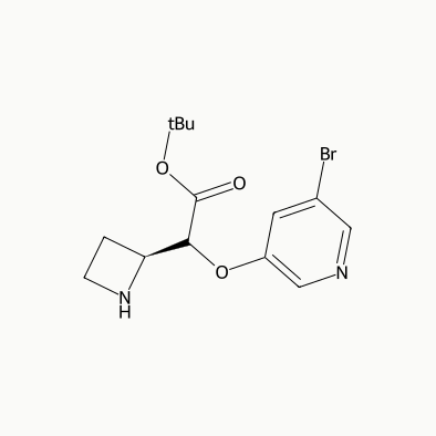 CC(C)(C)OC(=O)C(Oc1cncc(Br)c1)[C@@H]1CCN1